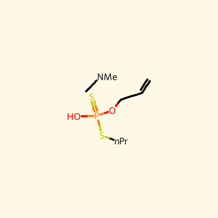 C=CCOP(O)(=S)SCCC.CNC